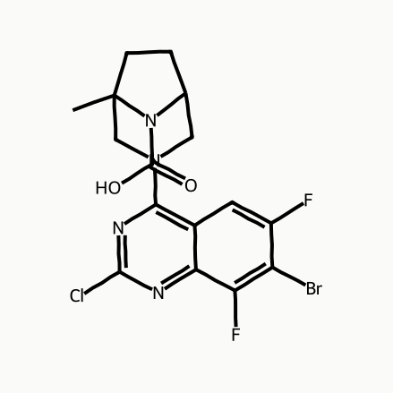 CC12CCC(CN(c3nc(Cl)nc4c(F)c(Br)c(F)cc34)C1)N2C(=O)O